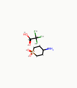 NC1CCS(=O)(=O)CC1.O=C(O)C(F)(F)F